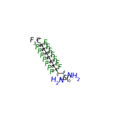 C[Si](N)(N)CCC(F)(F)C(F)(F)C(F)(F)C(F)(F)C(F)(F)C(F)(F)C(F)(F)C(F)(F)F